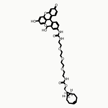 O=C(NCCOCCOCCOCCNC(=O)OC[C@@H]1[C@@H]2CCC#CCC[C@@H]21)Nc1ccc(-c2c3ccc(=O)cc-3oc3cc(O)ccc23)c(C(=O)O)c1